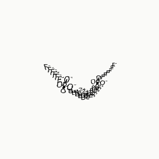 O=P([O-])([O-])[O-].O=P([O-])([O-])[O-].[Be+2].[Be+2].[Be+2].[Be+2].[Be+2].[Be+2].[Be+2].[Be+2].[Be+2].[F-].[F-].[F-].[F-].[F-].[F-].[F-].[F-].[F-].[F-].[F-].[F-]